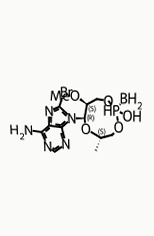 B[PH]1(O)OC[C@H](OC)[C@H](n2c(Br)nc3c(N)ncnc32)O[C@@H](C)CO1